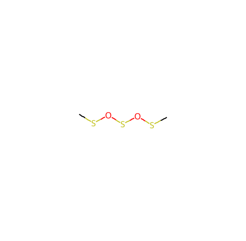 CSOSOSC